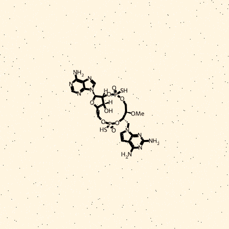 CO[C@@H]1COP(=O)(S)O[C@@H]2[C@H](O)[C@@H](COP(=O)(S)O[C@H]1Cn1ccc3c(N)nc(N)nc31)O[C@H]2n1cnc2c(N)ncnc21